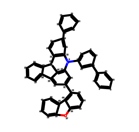 c1ccc(-c2cccc(N3c4cc(-c5ccccc5)ccc4B4c5ccccc5-c5cc(-c6cccc7oc8ccccc8c67)cc3c54)c2)cc1